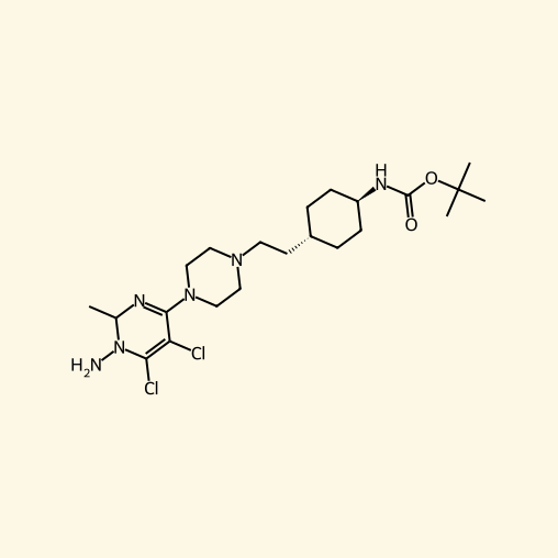 CC1N=C(N2CCN(CC[C@H]3CC[C@H](NC(=O)OC(C)(C)C)CC3)CC2)C(Cl)=C(Cl)N1N